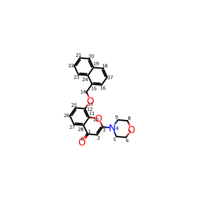 O=c1cc(N2CCOCC2)oc2c(OCc3cccc4ccccc34)cccc12